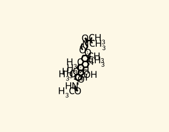 CC(=O)NC[C@H]1C[C@@H](C)C2[C@H](O1)[C@H](O)[C@@]1(C)[C@@H]3CC[C@H]4C(C)(C)[C@@H](O[C@H]5CN(C(=O)C(C)C)CCO5)CC[C@]4(C)[C@]3(C)CC[C@]21C